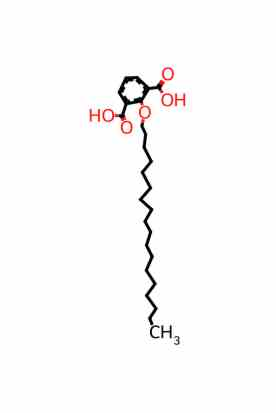 CCCCCCCCCCCCCCCCCCOc1c(C(=O)O)cccc1C(=O)O